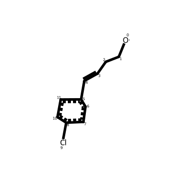 [O]CCC=Cc1ccc(Cl)cc1